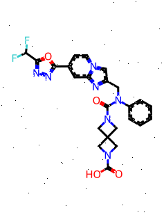 O=C(O)N1CC2(C1)CN(C(=O)N(Cc1cn3ccc(-c4nnc(C(F)F)o4)cc3n1)c1ccccc1)C2